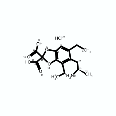 CCc1cc2c(c(CC)c1C[C@@H](C)N)OC(C(=O)O)(C(=O)O)O2.Cl